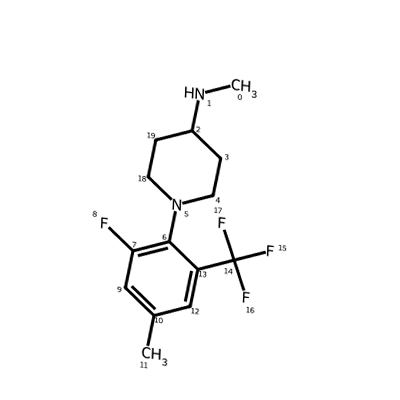 CNC1CCN(c2c(F)cc(C)cc2C(F)(F)F)CC1